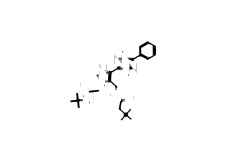 CC(C)(C)CC(=O)OCc1c(-c2nnc(-c3ccccc3)nn2)ncn1CC(=O)NC(C)(C)C